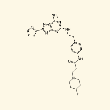 Nc1nc(NCCc2ccc(NC(=O)CCN3CCC(F)CC3)cc2)nc2nc(-c3ccco3)nn12